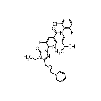 CCn1c(COCc2ccccc2)nn(-c2nc3c(C(C)C)cn(-c4c(F)cccc4Cl)c(=O)c3cc2F)c1=O